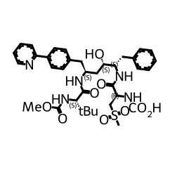 COC(=O)N[C@H](C(=O)N[C@@H](Cc1ccc(-c2ccccn2)cc1)C[C@H](O)[C@H](Cc1ccccc1)NC(=O)[C@H](CS(C)(=O)=O)NC(=O)O)C(C)(C)C